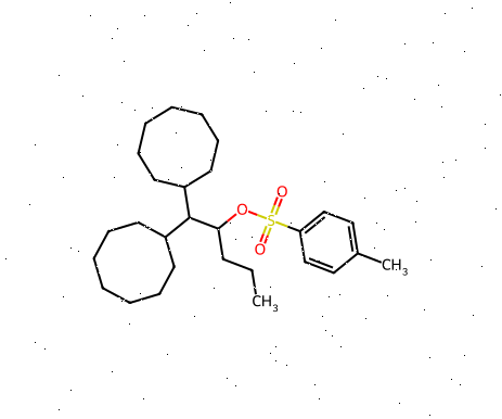 CCCC(OS(=O)(=O)c1ccc(C)cc1)C(C1CCCCCCC1)C1CCCCCCC1